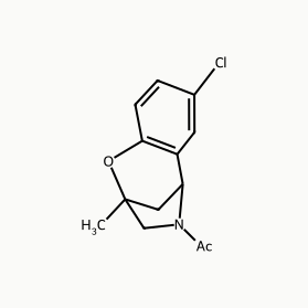 CC(=O)N1CC2(C)CC1c1cc(Cl)ccc1O2